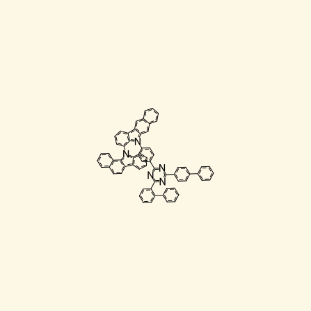 c1ccc(-c2ccc(-c3nc(-c4ccc(-n5c6cc7ccccc7cc6c6cccc(-n7c8ccccc8c8ccc9ccccc9c87)c65)cc4)nc(-c4ccccc4-c4ccccc4)n3)cc2)cc1